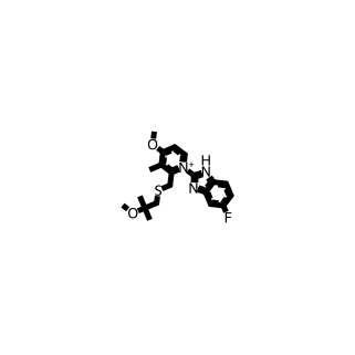 COc1cc[n+](-c2nc3cc(F)ccc3[nH]2)c(CSCC(C)(C)OC)c1C